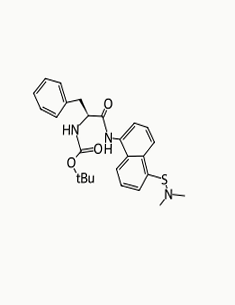 CN(C)Sc1cccc2c(NC(=O)[C@H](Cc3ccccc3)NC(=O)OC(C)(C)C)cccc12